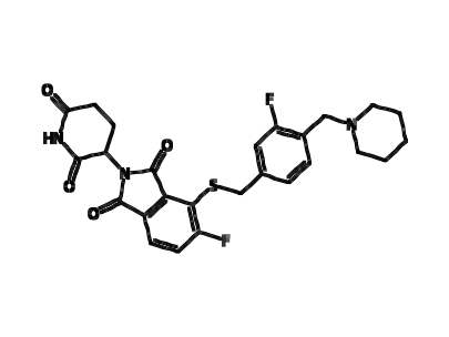 O=C1CCC(N2C(=O)c3ccc(F)c(SCc4ccc(CN5CCCCC5)c(F)c4)c3C2=O)C(=O)N1